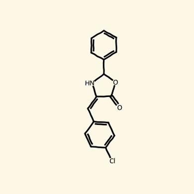 O=C1OC(c2ccccc2)N/C1=C/c1ccc(Cl)cc1